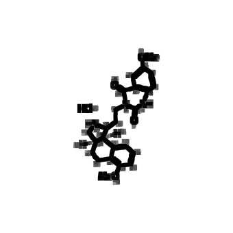 COc1ccc2[nH]c(=O)n(CCC3NC[C@@H]4CCc5c(OC)cccc5[C@H]34)c(=O)c2c1.Cl